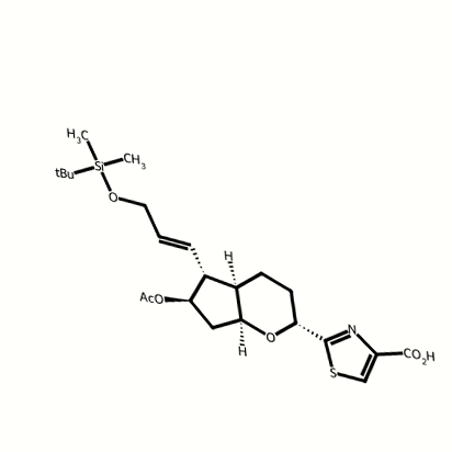 CC(=O)O[C@@H]1C[C@@H]2O[C@@H](c3nc(C(=O)O)cs3)CC[C@@H]2[C@H]1/C=C/CO[Si](C)(C)C(C)(C)C